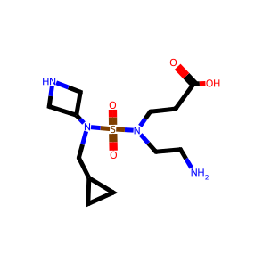 NCCN(CCC(=O)O)S(=O)(=O)N(CC1CC1)C1CNC1